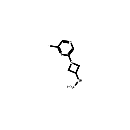 O=C(O)NC1CN(c2cncc(Cl)n2)C1